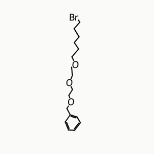 BrCCCCCCOCCOCCOCc1ccccc1